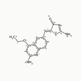 CCOc1cc(N)nc2ccc(/C=C3\SC(N)=NC3=O)cc12